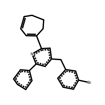 Brc1cccc(Cc2cc(C3=CC=CCCC3)nc(-c3ccccc3)c2)c1